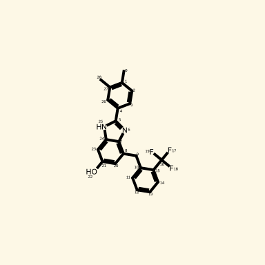 Cc1ccc(-c2nc3c(Cc4ccccc4C(F)(F)F)cc(O)cc3[nH]2)cc1C